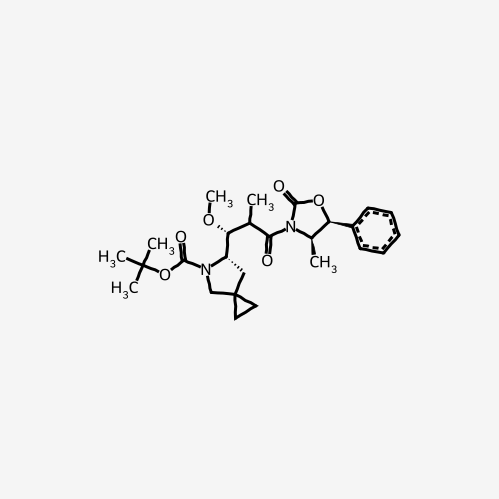 CO[C@H](C(C)C(=O)N1C(=O)O[C@@H](c2ccccc2)[C@H]1C)[C@@H]1CC2(CC2)CN1C(=O)OC(C)(C)C